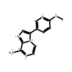 COc1ccc(-c2cnc3c(N)nccn23)cn1